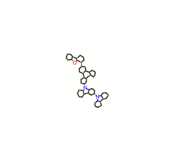 c1ccc2c(c1)oc1c(-c3ccc4c5ccc(-n6c7ccccc7c7cc(-n8c9ccccc9c9ccccc98)ccc76)cc5c5ccccc5c4c3)cccc12